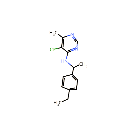 CCc1ccc(C(C)Nc2ncnc(C)c2Cl)cc1